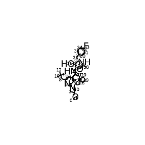 COC1CN(c2nc(CC(C)(C)C)cc3c2OC2(CCC2)C[C@@H]3NC[C@H](O)[C@H](Cc2ccc(F)cc2)NC(C)=O)C1